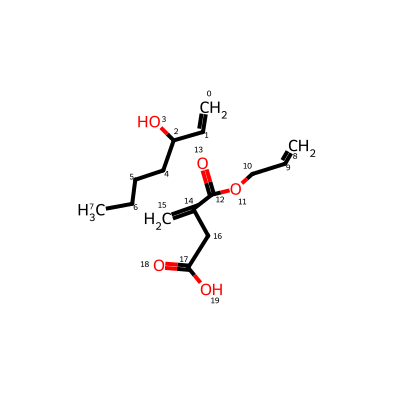 C=CC(O)CCCC.C=CCOC(=O)C(=C)CC(=O)O